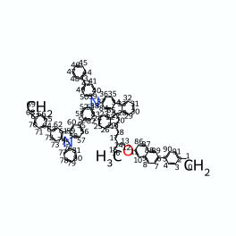 C=Cc1ccc(-c2ccc3cc(OCC(CC)CCCCC4(c5ccccc5)c5ccccc5-c5ccc(N(c6ccc(-c7ccccc7)cc6)c6ccc(-c7ccc8c(c7)c7cc(-c9ccc(C=C)cc9)ccc7n8-c7ccccc7)cc6)cc54)ccc3c2)cc1